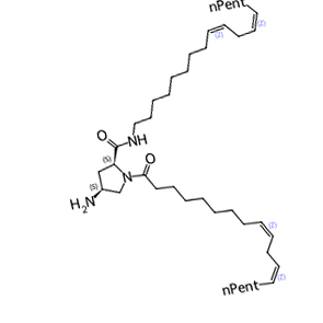 CCCCC/C=C\C/C=C\CCCCCCCCNC(=O)[C@@H]1C[C@H](N)CN1C(=O)CCCCCCC/C=C\C/C=C\CCCCC